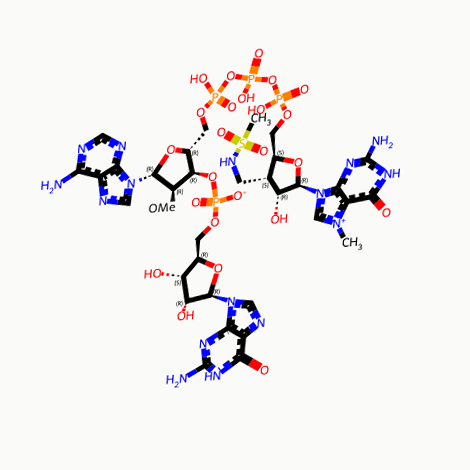 CO[C@@H]1[C@H](OP(=O)([O-])OC[C@H]2O[C@@H](n3cnc4c(=O)[nH]c(N)nc43)[C@H](O)[C@@H]2O)[C@@H](COP(=O)(O)OP(=O)(O)OP(=O)(O)OC[C@H]2O[C@@H](n3c[n+](C)c4c(=O)[nH]c(N)nc43)[C@H](O)[C@@H]2CNS(C)(=O)=O)O[C@H]1n1cnc2c(N)ncnc21